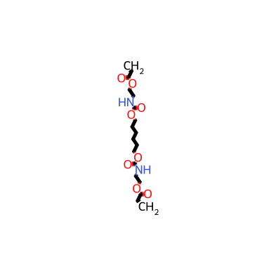 C=CC(=O)OCCNC(=O)OCCCCCCOC(=O)NCCOC(=O)C=C